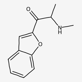 CNC(C)C(=O)c1cc2ccccc2o1